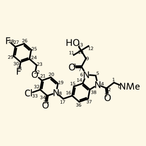 CNCC(=O)N1CN(C(=O)CC(C)(C)O)c2cc(Cn3ccc(OCc4ccc(F)cc4F)c(Cl)c3=O)ccc21